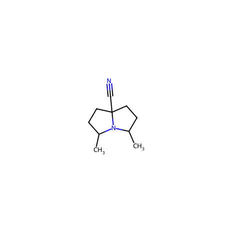 CC1CCC2(C#N)CCC(C)N12